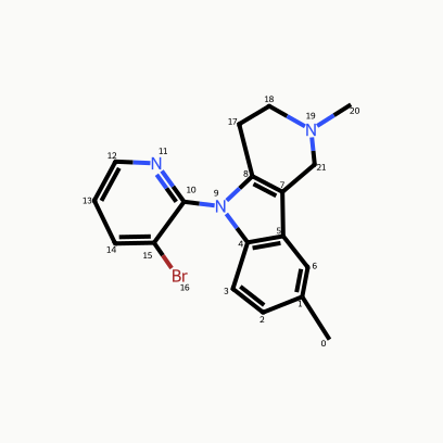 Cc1ccc2c(c1)c1c(n2-c2ncccc2Br)CCN(C)C1